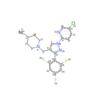 N#CC1CCN(Cc2cn(-c3ccc(Cl)cn3)nc2-c2c(F)cc(F)cc2F)CC1